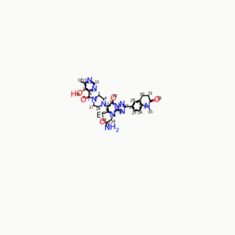 CCc1c(N2CCN(C(=O)c3ncnc(C)c3O)CC2)c(=O)n2nc(-c3ccc4c(c3)CCC(=O)N4C)nc2n1CC(N)=O